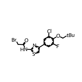 CC(C)(C)COc1c(F)cc(-c2csc(NC(=O)CBr)n2)cc1Cl